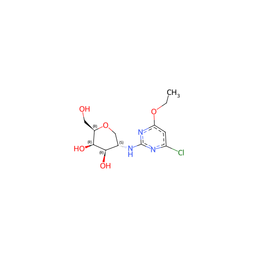 CCOc1cc(Cl)nc(N[C@H]2CO[C@H](CO)[C@H](O)[C@@H]2O)n1